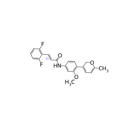 COc1cc(NC(=O)/C=C/c2c(F)cccc2F)ccc1C1=CC=C(C)OC1